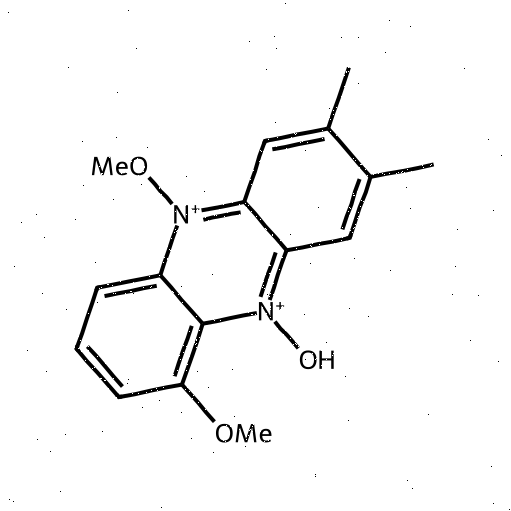 COc1cccc2c1[n+](O)c1cc(C)c(C)cc1[n+]2OC